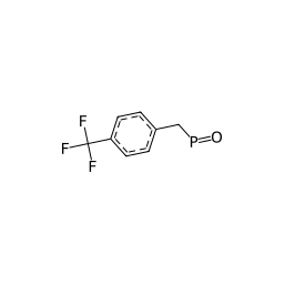 O=PCc1ccc(C(F)(F)F)cc1